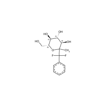 CC1(C(F)(F)c2ccccc2)O[C@H](CO)[C@@H](O)[C@H](O)[C@H]1O